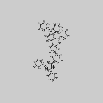 c1ccc(-c2nc(-c3ccccc3)nc(-c3cccc(-c4ccc5c(c4)nc(-c4ccccc4)c4c5ccc5c4c4ccccc4n5-c4ccccc4)c3)n2)cc1